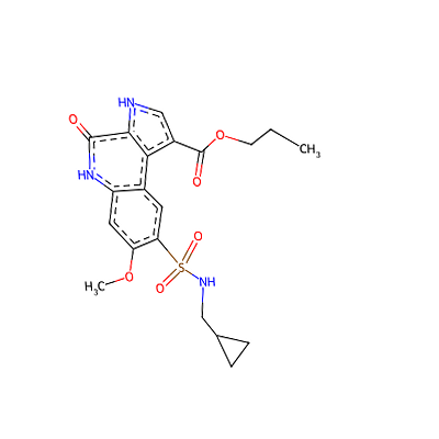 CCCOC(=O)c1c[nH]c2c(=O)[nH]c3cc(OC)c(S(=O)(=O)NCC4CC4)cc3c12